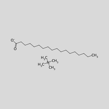 CCCCCCCCCCCCCCCCCC(=O)[O-].C[N+](C)(C)C